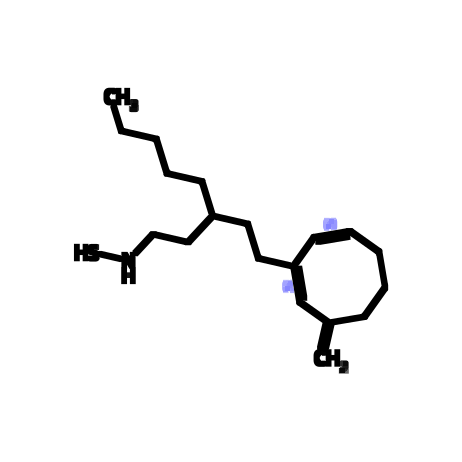 C=C1/C=C(CCC(CCCCC)CCNS)\C=C/CCC1